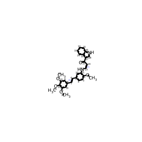 COc1ccc(/C=C/c2cc(OC)c(OC)c(OC)c2)cc1N/C=C\C(=O)c1c[nH]c2ccccc12